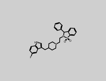 O=S1(=O)c2ccccc2C(c2ccccc2)N1CCN1CCC(Cc2c[nH]c3ccc(F)cc23)CC1